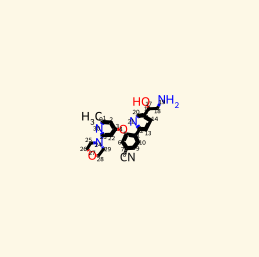 Cc1cc(Oc2cc(C#N)ccc2-c2ccc(C(O)CN)cn2)cc(N2CCOCC2)n1